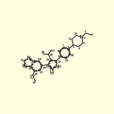 CCN1CCC(c2ccc(-c3n[nH]c(-c4cc(OC)c5ncnn5c4)c3C(C)C)cc2)CC1